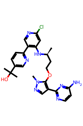 C[C@@H](CCOc1c(-c2nccc(N)n2)cnn1C)Nc1cc(Cl)ncc1-c1ccc(C(C)(C)O)cn1